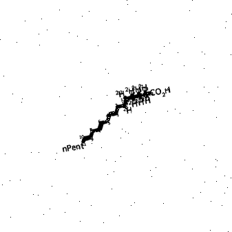 [2H]C(CC=CCC=CCC=CCCCCC)=C([2H])C([2H])([2H])C([2H])([2H])C([2H])([2H])C(=O)O